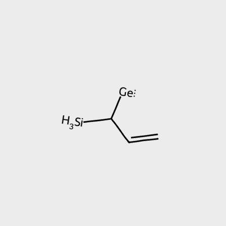 C=C[CH]([SiH3])[Ge]